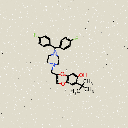 CC(C)(C)c1cc2c(cc1O)OC(CN1CCN(C(c3ccc(F)cc3)c3ccc(F)cc3)CC1)=CO2